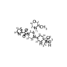 C[C@H]1COCCN1C[C@H]1CN(S(=O)(=O)c2nccs2)CCN1c1ccc([C@@](C)(O)C(F)(F)F)cc1